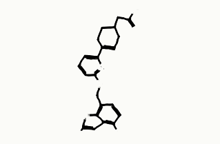 O=C(O)CC1CC=C(c2cccc(OCc3ccc(Cl)c4cc(F)oc34)n2)CC1